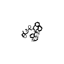 Cc1ccoc1CN(C)C(=O)C[C@H](Cc1ccccc1)n1c(-c2cccc3nccnc23)nc2ccccc21